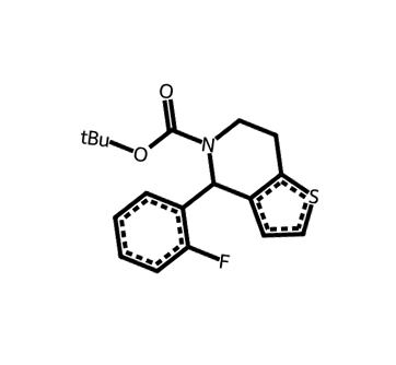 CC(C)(C)OC(=O)N1CCc2sccc2C1c1ccccc1F